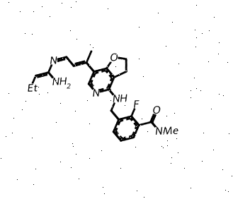 CC/C=C(N)/N=C\C=C(/C)c1cnc(NCc2cccc(C(=O)NC)c2F)c2c1OCC2